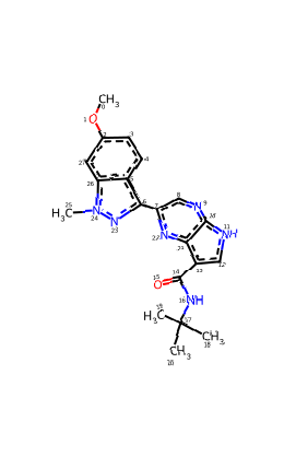 COc1ccc2c(-c3cnc4[nH]cc(C(=O)NC(C)(C)C)c4n3)nn(C)c2c1